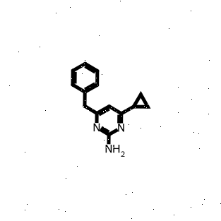 Nc1nc(Cc2ccccc2)cc(C2CC2)n1